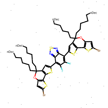 CCCCCCCCCCCCCCCC1(CCCCCCCCCCCCCCC)Oc2cc(Br)sc2-c2sc(-c3c(F)c(F)c(-c4cc5c(s4)-c4sc(Br)cc4OC5(CCCCCCCCCCCCCCC)CCCCCCCCCCCCCCC)c4nsnc34)cc21